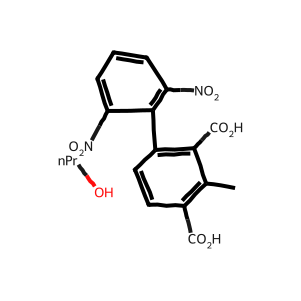 CCCO.Cc1c(C(=O)O)ccc(-c2c([N+](=O)[O-])cccc2[N+](=O)[O-])c1C(=O)O